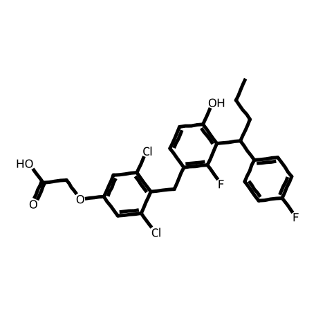 CCCC(c1ccc(F)cc1)c1c(O)ccc(Cc2c(Cl)cc(OCC(=O)O)cc2Cl)c1F